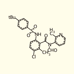 Cc1ncccc1N(C=O)C(=O)c1c(NS(=O)(=O)c2ccc(C(C)(C)C)cc2)ccc(Cl)c1C